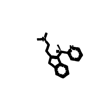 C[C@@H](C1=C(CCN(C)C)Cc2ccccc21)c1ccccn1